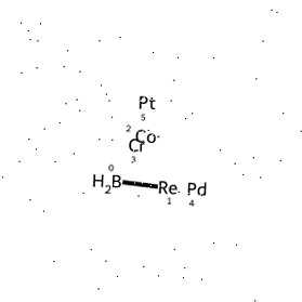 [BH2][Re].[Co].[Cr].[Pd].[Pt]